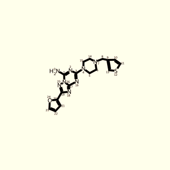 Nc1nc(N2CCN(Cc3ccsc3)CC2)nc2nc(-c3ccco3)nn12